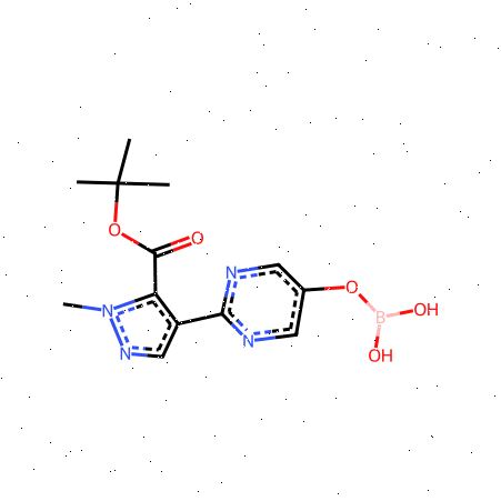 Cn1ncc(-c2ncc(OB(O)O)cn2)c1C(=O)OC(C)(C)C